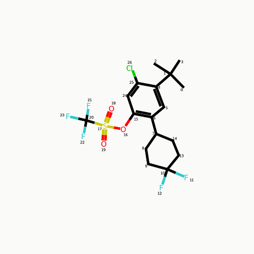 CC(C)(C)c1cc(C2CCC(F)(F)CC2)c(OS(=O)(=O)C(F)(F)F)cc1Cl